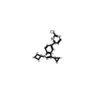 Clc1nccc(-c2ccc3c(c2)c(C2CC2)cn3C2CCC2)n1